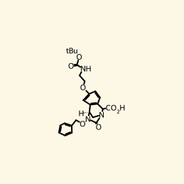 CC(C)(C)OC(=O)NCCOc1ccc2c(c1)[C@H]1CN(C(=O)N1OCc1ccccc1)C2C(=O)O